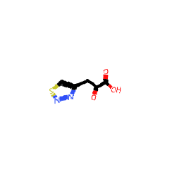 O=C(O)C(=O)Cc1csnn1